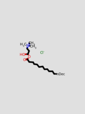 CCCCCCCCCCCCCCCCCCCCCC(=O)OC(O)CC[N+](C)(C)C.[Cl-]